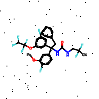 CC(C)Oc1cc(C(Cc2ccccc2)(NC(=O)NCC(F)(F)C#N)c2cc(F)cc(OC(F)(F)C(F)F)c2)ccc1F